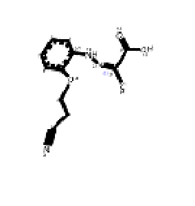 N#CCCOc1ccccc1N/N=C(/Cl)C(=O)O